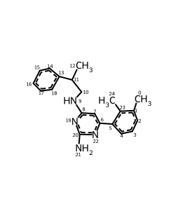 Cc1cccc(-c2cc(NCC(C)c3ccccc3)nc(N)n2)c1C